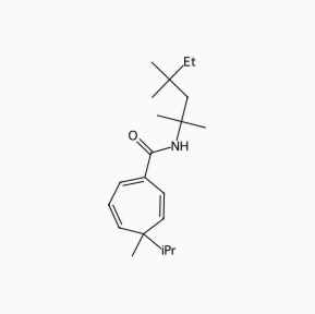 CCC(C)(C)CC(C)(C)NC(=O)C1=CC=CC(C)(C(C)C)C=C1